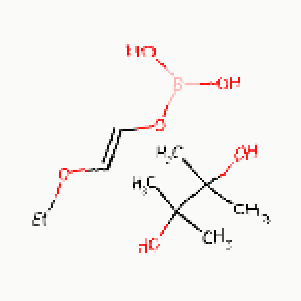 CC(C)(O)C(C)(C)O.CCOC=COB(O)O